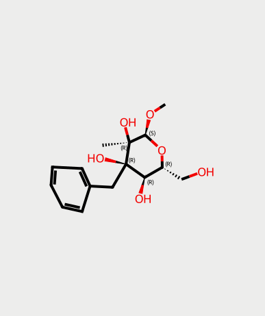 CO[C@H]1O[C@H](CO)[C@@H](O)[C@](O)(Cc2ccccc2)[C@@]1(C)O